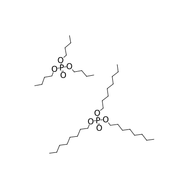 CCCCCCCCOP(=O)(OCCCCCCCC)OCCCCCCCC.CCCCOP(=O)(OCCCC)OCCCC